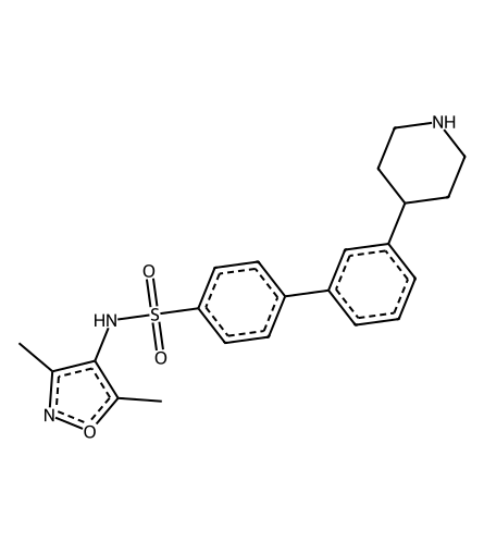 Cc1noc(C)c1NS(=O)(=O)c1ccc(-c2cccc(C3CCNCC3)c2)cc1